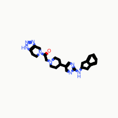 O=C(CN1CCC(c2cnc(NC3Cc4ccccc4C3)nc2)CC1)N1CCc2[nH]nnc2C1